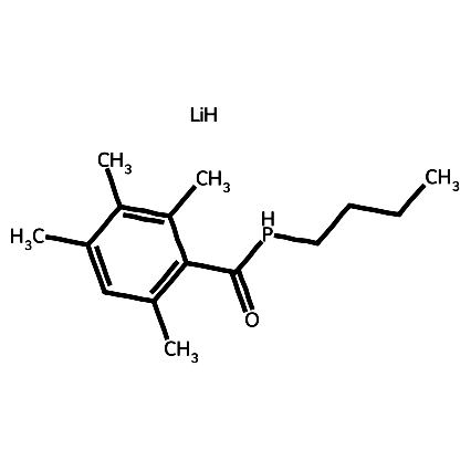 CCCCPC(=O)c1c(C)cc(C)c(C)c1C.[LiH]